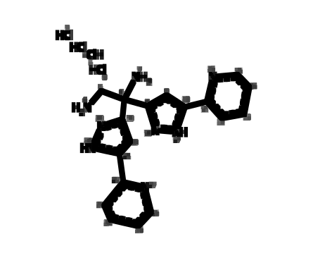 Cl.Cl.Cl.Cl.NCC(N)(c1cc(-c2ccccn2)[nH]n1)c1cc(-c2ccccn2)[nH]n1